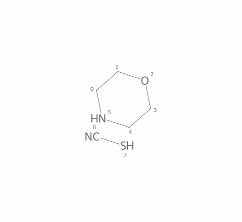 C1COCCN1.N#CS